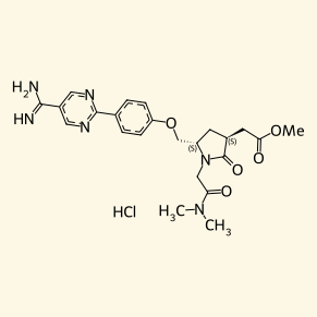 COC(=O)C[C@@H]1C[C@@H](COc2ccc(-c3ncc(C(=N)N)cn3)cc2)N(CC(=O)N(C)C)C1=O.Cl